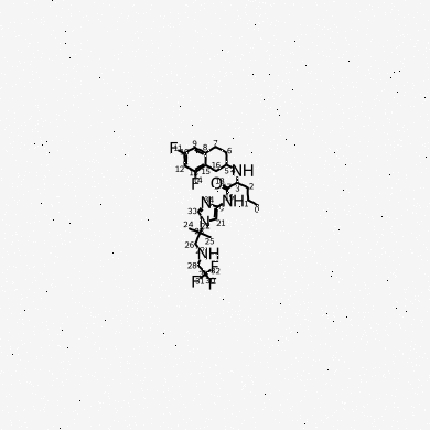 CCCC(NC1CCc2cc(F)cc(F)c2C1)C(=O)Nc1cn(C(C)(C)CNCC(F)(F)F)cn1